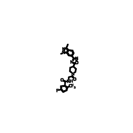 Cc1nn(C)c2cc(-c3noc(C4CCN(C(=O)CNC(=O)c5cc(F)ccc5C(F)(F)F)CC4)n3)ccc12